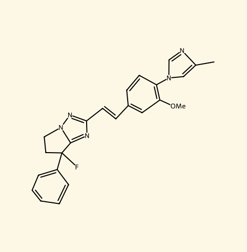 COc1cc(/C=C/c2nc3n(n2)CCC3(F)c2ccccc2)ccc1-n1cnc(C)c1